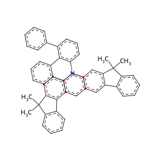 CC1(C)c2ccccc2-c2cc(N(c3ccc4c(c3)C(C)(C)c3ccccc3-4)c3cccc(-c4ccccc4)c3-c3ccccc3-c3ccccc3)ccc21